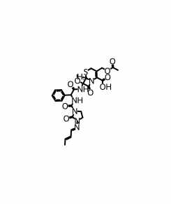 CC=CC=NN1CCN(C(=O)NC(C(=O)NC2(OC)C(=O)N3C(C(=O)O)=C(COC(C)=O)CS[C@H]32)c2ccccc2)C1=O